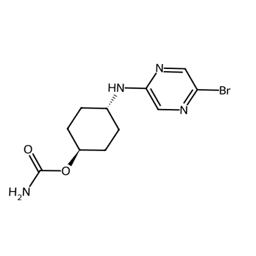 NC(=O)O[C@H]1CC[C@H](Nc2cnc(Br)cn2)CC1